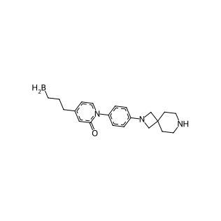 BCCCc1ccn(-c2ccc(N3CC4(CCNCC4)C3)cc2)c(=O)c1